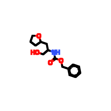 O=C(NC(CO)CC1CCCO1)OCc1ccccc1